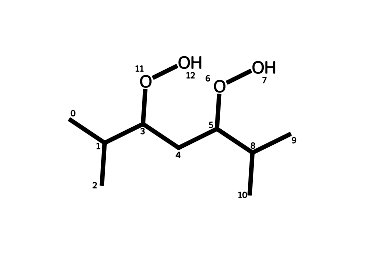 CC(C)C(CC(OO)C(C)C)OO